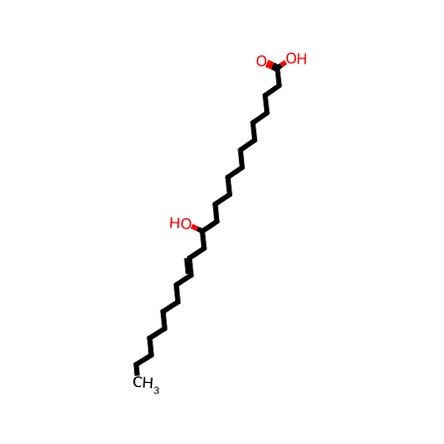 CCCCCCCCC=CCC(O)CCCCCCCCCCCC(=O)O